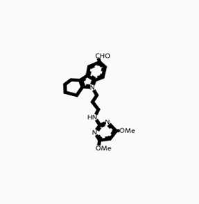 COc1cc(OC)nc(NCCCn2c3c(c4cc(C=O)ccc42)CCCC3)n1